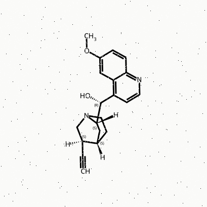 C#C[C@H]1CN2CC[C@H]1C[C@H]2[C@H](O)c1ccnc2ccc(OC)cc12